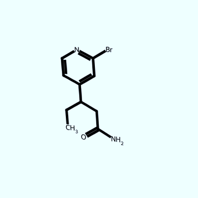 CC[C](CC(N)=O)c1ccnc(Br)c1